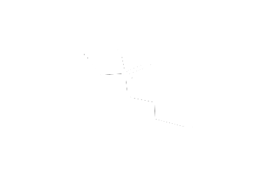 CCCCCCOP(=O)(O)CN